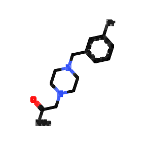 CNC(=O)CN1CCN(Cc2cccc(C(C)C)c2)CC1